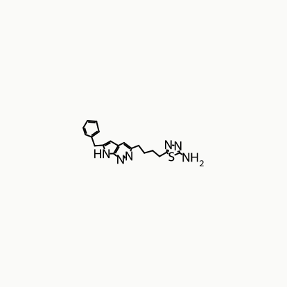 Nc1nnc(CCCCc2cc3cc(Cc4ccccc4)[nH]c3nn2)s1